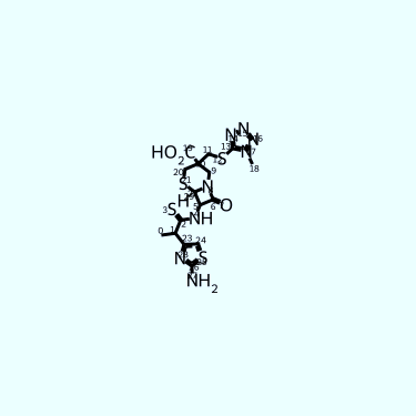 CC(C(=S)NC1C(=O)N2CC(CSc3nnnn3C)(C(=O)O)CS[C@H]12)c1csc(N)n1